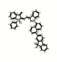 C=C1/C(=C\C=C2/CN(c3cccc4c(-c5ccc6c(c5)C(C)(C)c5ccccc5-6)cccc34)c3ccccc32)P(=O)(c2ccccc2)c2ccccc21